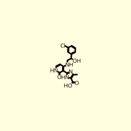 Cc1nc(-c2c(NCC(O)c3cccc(Cl)c3)cc[nH]c2=O)[nH]c1C(=O)O